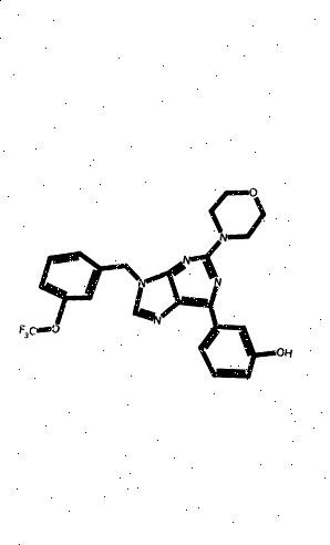 Oc1cccc(-c2nc(N3CCOCC3)nc3c2ncn3Cc2cccc(OC(F)(F)F)c2)c1